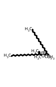 CCCCCCCCCCCCCCCCC(CC)C(C)(C)OC(C)(C)C(CC)CCCCCCCCCCCCCCCC